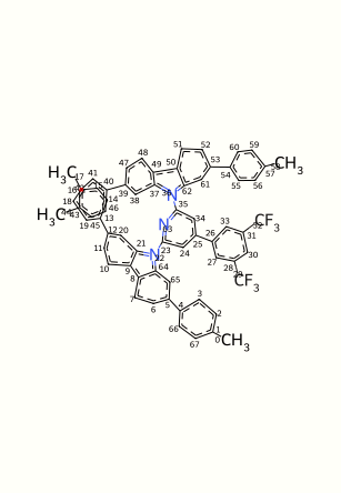 Cc1ccc(-c2ccc3c4ccc(-c5ccc(C)cc5)cc4n(-c4cc(-c5cc(C(F)(F)F)cc(C(F)(F)F)c5)cc(-n5c6cc(-c7ccc(C)cc7)ccc6c6ccc(-c7ccc(C)cc7)cc65)n4)c3c2)cc1